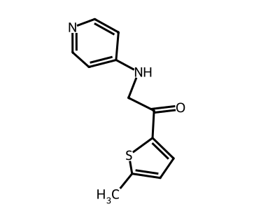 Cc1ccc(C(=O)CNc2ccncc2)s1